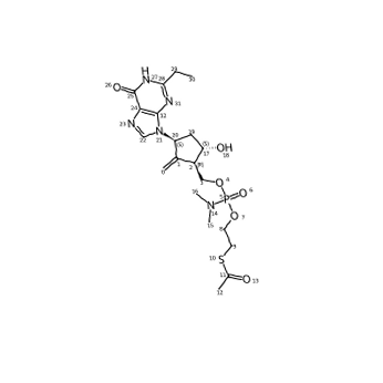 C=C1[C@H](COP(=O)(OCCSC(C)=O)N(C)C)[C@@H](O)C[C@@H]1n1cnc2c(=O)[nH]c(CC)nc21